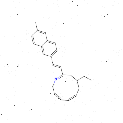 CCC1C/C=C\C=C/C/N=C(/C=C/c2ccc3cc(C)ccc3c2)C1